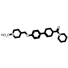 O=C(O)N1CCC(COc2ccc(C3=CCC(C(=O)N4CCCCC4)CC3)cc2)CC1